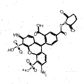 N=c1ccc2c(-c3ccc(C(=O)ON4C(=O)CCC4=O)cc3C(=O)O)c3ccc(N)c(S(=O)(=O)O)c3oc-2c1S(=O)(=O)O